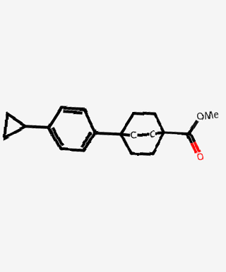 COC(=O)C12CCC(c3ccc(C4CC4)cc3)(CC1)CC2